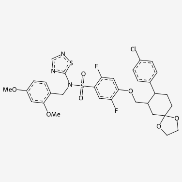 COc1ccc(CN(c2ncns2)S(=O)(=O)c2cc(F)c(OCC3CC4(CCC3c3ccc(Cl)cc3)OCCO4)cc2F)c(OC)c1